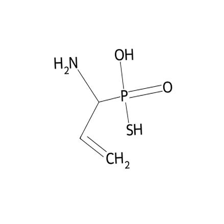 C=CC(N)P(=O)(O)S